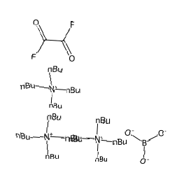 CCCC[N+](CCCC)(CCCC)CCCC.CCCC[N+](CCCC)(CCCC)CCCC.CCCC[N+](CCCC)(CCCC)CCCC.O=C(F)C(=O)F.[O-]B([O-])[O-]